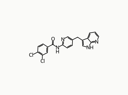 O=C(Nc1ccc(Cc2c[nH]c3ncccc23)cn1)c1ccc(Cl)c(Cl)c1